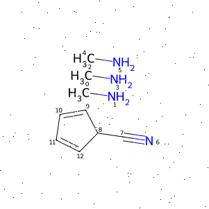 CN.CN.CN.N#CC1C=CC=C1